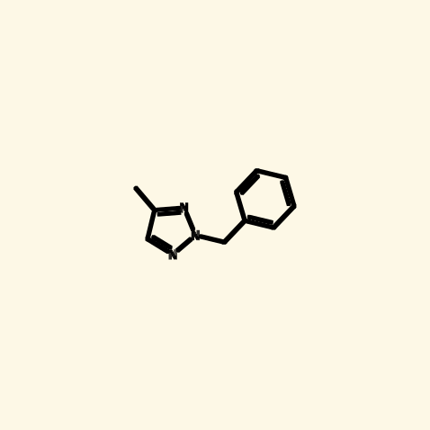 Cc1cnn(Cc2ccccc2)n1